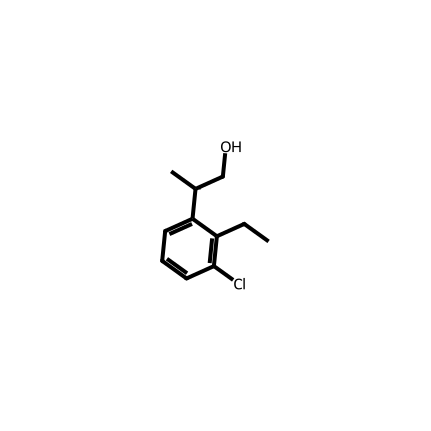 CCc1c(Cl)cccc1[C](C)CO